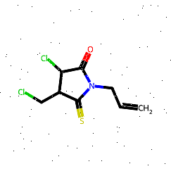 C=CCN1C(=O)C(Cl)C(CCl)C1=S